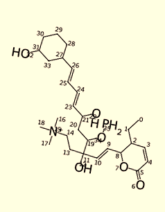 CCC1C=CC(=O)OC1C=CC(O)(CC[N+](C)(C)C)C(CC(O)C=CC=CC1CCCC(O)C1)OP